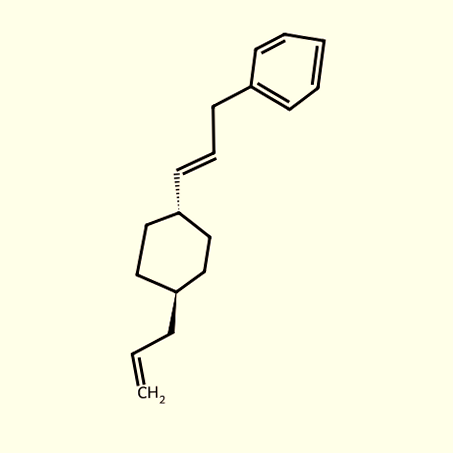 C=CC[C@H]1CC[C@H](C=CCc2ccccc2)CC1